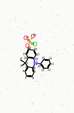 CC1(C)c2ccccc2N(c2ccccc2)c2ccc(OS(=O)(=O)Cl)cc21